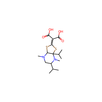 CC(C)C1CN(C)C2SC(=C(C(=O)O)C(=O)O)SC2(C(C)C)N1C